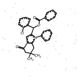 CC1(C)CC(=O)c2cc(C(OC(=O)c3ccccc3)c3ccccc3Cl)n(-c3ccccc3)c2C1